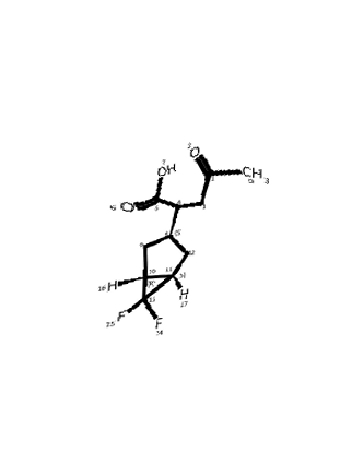 CC(=O)CC(C(=O)O)[C@@H]1C[C@@H]2[C@H](C1)C2(F)F